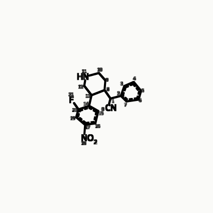 N#CC(c1ccccc1)C1CCNCC1c1ccc([N+](=O)[O-])cc1F